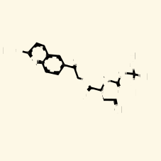 C=CC[C@H](NC(=O)OC(C)(C)C)C(=O)OCC(=O)c1ccc2nc(C)ccc2c1